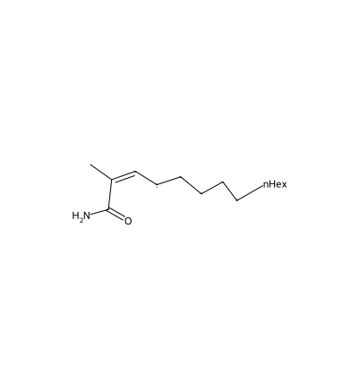 [CH2]CCCCCCCCC[CH]C=C(C)C(N)=O